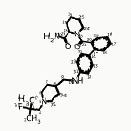 CC(C)(F)CN1CCC(CNc2ccc(-c3ccccc3C(=O)N3CCCC[C@@H]3C(N)=O)cc2)CC1